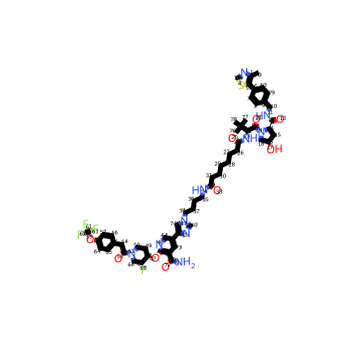 Cc1ncsc1-c1ccc(CNC(=O)[C@@H]2C[C@@H](O)CN2C(=O)[C@@H](NC(=O)CCCCCCC(=O)NCCCCn2cnc(-c3cnc(O[C@@H]4CCN(C(=O)Cc5ccc(OC(F)(F)F)cc5)C[C@H]4F)c(C(N)=O)c3)c2)C(C)(C)C)cc1